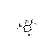 Nc1c(C(=O)[O-])cccc1[N+](=O)[O-].[Na+]